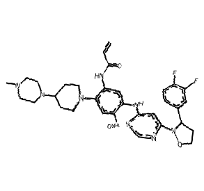 C=CC(=O)Nc1cc(Nc2cc(N3OCCC3c3ccc(F)c(F)c3)ncn2)c(OC)cc1N1CCC(N2CCN(C)CC2)CC1